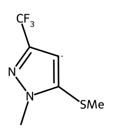 CSc1[c]c(C(F)(F)F)nn1C